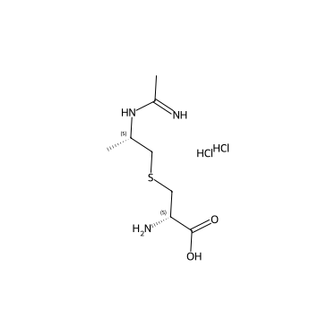 CC(=N)N[C@@H](C)CSC[C@@H](N)C(=O)O.Cl.Cl